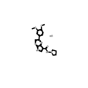 COc1ccc(-c2cnc3[nH]cc(C(=O)NN4CCCC4)c3n2)cc1OC.Cl